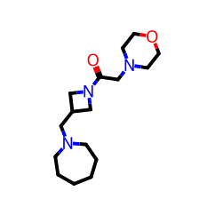 O=C(CN1CCOCC1)N1CC(CN2CCCCCC2)C1